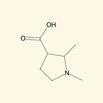 CC1C(C(=O)O)CCN1C